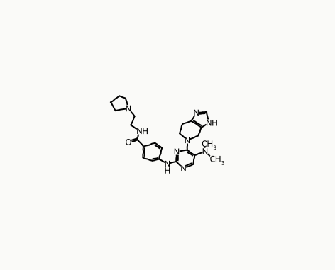 CN(C)c1cnc(Nc2ccc(C(=O)NCCN3CCCC3)cc2)nc1N1CCc2nc[nH]c2C1